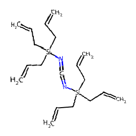 C=CC[Si](CC=C)(CC=C)N=C=N[Si](CC=C)(CC=C)CC=C